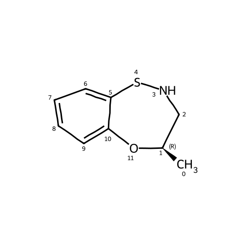 C[C@@H]1CNSc2ccccc2O1